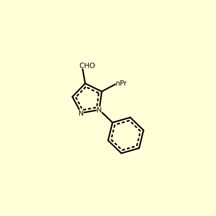 CCCc1c([C]=O)cnn1-c1ccccc1